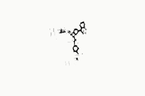 CCOC(=O)c1ccc(NC(=O)c2nn(COCC[Si](C)(C)C)c3ccc(-c4cncc5ccccc45)cc23)cc1